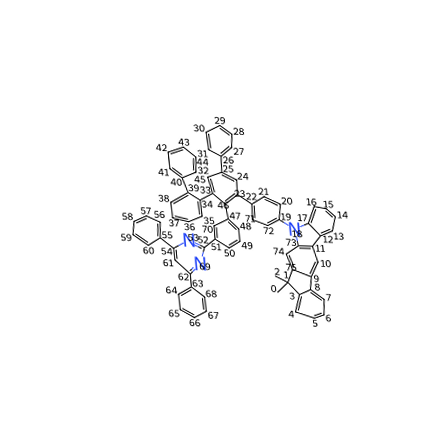 CC1(C)c2ccccc2-c2cc3c4ccccc4n(-c4ccc(-c5cc(-c6ccccc6)cc(-c6ccccc6-c6ccccc6)c5-c5cccc(-c6nc(-c7ccccc7)cc(-c7ccccc7)n6)c5)cc4)c3cc21